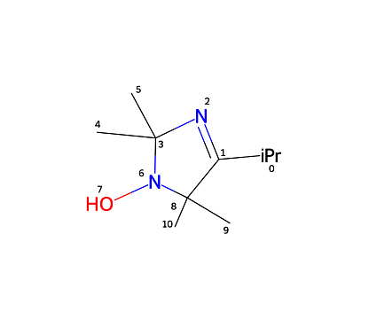 CC(C)C1=NC(C)(C)N(O)C1(C)C